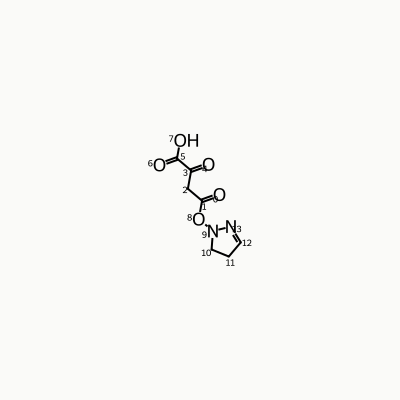 O=C(CC(=O)C(=O)O)ON1CCC=N1